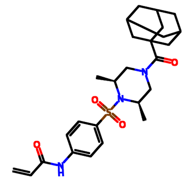 C=CC(=O)Nc1ccc(S(=O)(=O)N2[C@H](C)CN(C(=O)C34CC5CC(CC(C5)C3)C4)C[C@@H]2C)cc1